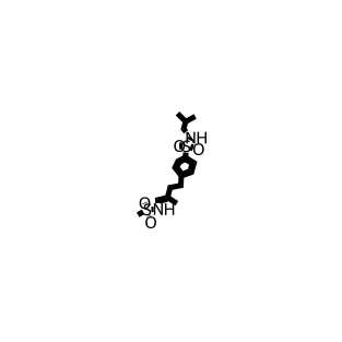 C/C(=C\NS(C)(=O)=O)CCc1ccc(S(=O)(=O)NCC(C)C)cc1